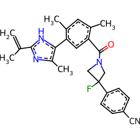 C=C(C)c1nc(C)c(-c2cc(C(=O)N3CC(F)(c4ccc(C#N)cc4)C3)c(C)cc2C)[nH]1